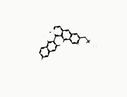 Cc1ccc2c(C)c3c(cc2c1)Sc1c2ccc(CC(C)(C)C)cc2cc2cc[n+](C)c-3c12